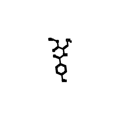 C/C=C(/NC(=O)c1ccc(C(C)(C)C)cc1)C(=O)OC(C)(C)C